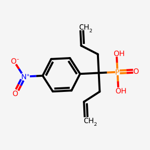 C=CCC(CC=C)(c1ccc([N+](=O)[O-])cc1)P(=O)(O)O